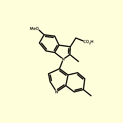 COc1ccc2c(c1)c(CC(=O)O)c(C)n2-c1ccnc2cc(C)ccc12